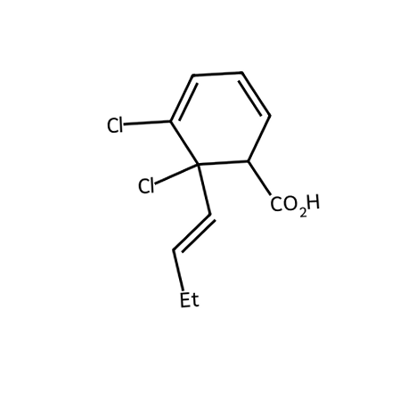 CCC=CC1(Cl)C(Cl)=CC=CC1C(=O)O